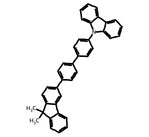 CC1(C)c2ccccc2-c2cc(-c3ccc(-c4ccc(-n5c6ccccc6c6ccccc65)cc4)cc3)ccc21